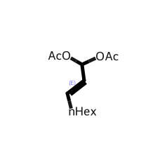 CCCCCC/C=C/C(OC(C)=O)OC(C)=O